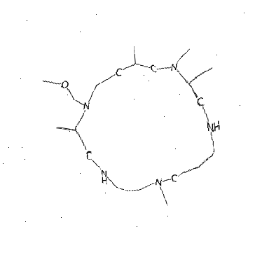 COCN1CCC(C)CN(C)C(C)CNCCCN(C)CCNCC1C